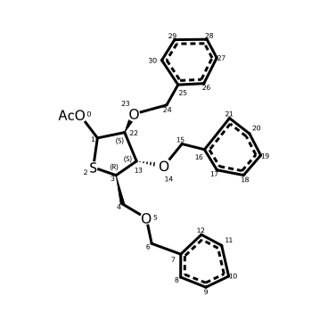 CC(=O)OC1S[C@H](COCc2ccccc2)[C@@H](OCc2ccccc2)[C@@H]1OCc1ccccc1